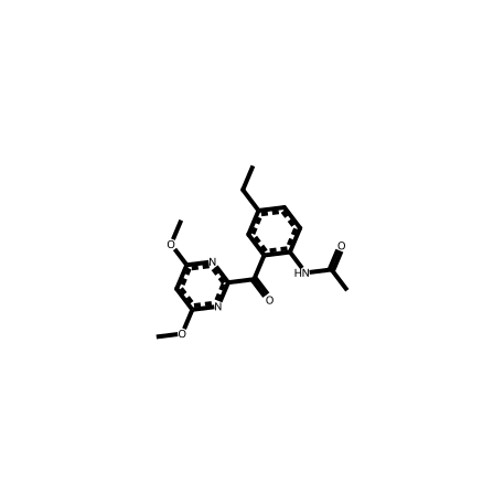 CCc1ccc(NC(C)=O)c(C(=O)c2nc(OC)cc(OC)n2)c1